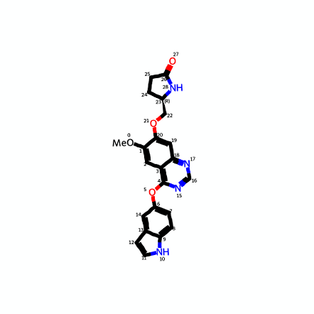 COc1cc2c(Oc3ccc4[nH]ccc4c3)ncnc2cc1OC[C@H]1CCC(=O)N1